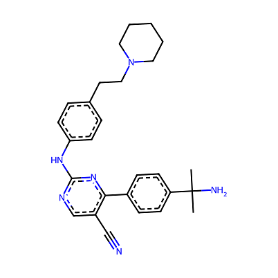 CC(C)(N)c1ccc(-c2nc(Nc3ccc(CCN4CCCCC4)cc3)ncc2C#N)cc1